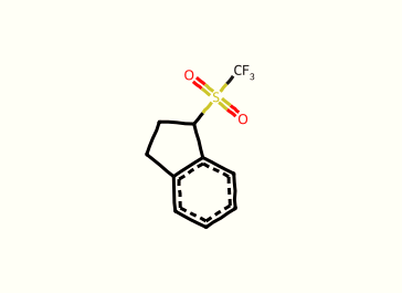 O=S(=O)(C1CCc2ccccc21)C(F)(F)F